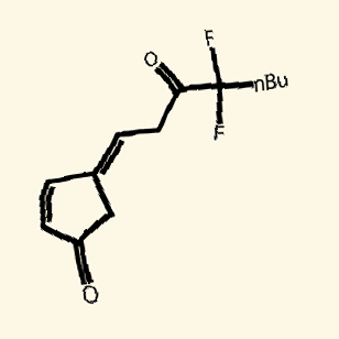 CCCCC(F)(F)C(=O)C/C=C1/C=CC(=O)C1